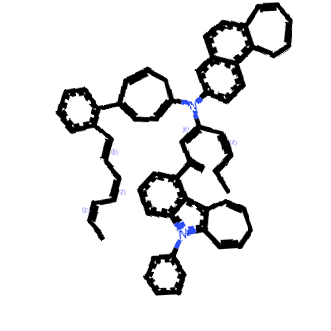 C=C(/C=C(\C=C/CC)N(C1=CC=C(c2ccccc2/C=C/C=C\C=C/C)C=CC1)c1ccc2c3c(ccc2c1)C=CC=CC3)c1cccc2c1c1c(n2-c2ccccc2)C=CCC=C1